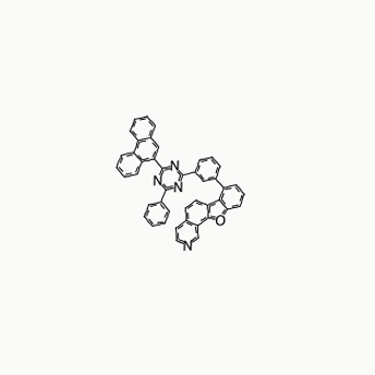 c1ccc(-c2nc(-c3cccc(-c4cccc5oc6c7cnccc7ccc6c45)c3)nc(-c3cc4ccccc4c4ccccc34)n2)cc1